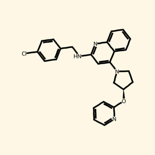 Clc1ccc(CNc2cc(N3CC[C@@H](Oc4ccccn4)C3)c3ccccc3n2)cc1